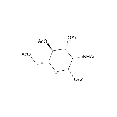 CC(=O)N[C@@H]1[C@H](OC(C)=O)O[C@H](COC(C)=O)[C@@H](OC(C)=O)[C@@H]1OC(C)=O